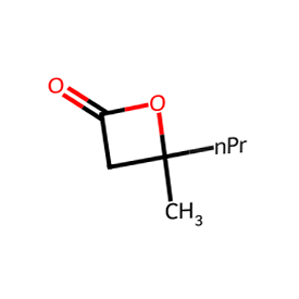 CCCC1(C)CC(=O)O1